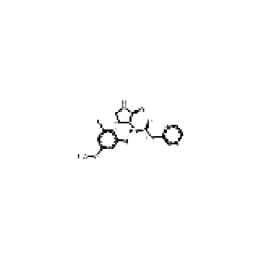 COc1cc(F)c([C@@H]2CNC(=O)[C@H]2NC(=O)Nc2cnccn2)c(F)c1